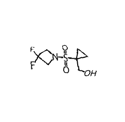 O=S(=O)(N1CC(F)(F)C1)C1(CO)CC1